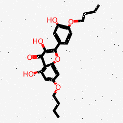 CCCCOc1cc(O)c2c(=O)c(O)c(-c3ccc(OCCCC)c(O)c3)oc2c1